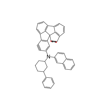 c1c(N(c2ccc3ccccc3c2)C2CCCC(c3ccccc3)C2)cc2c(c#1)-c1cccc3c1C21c2ccccc2-c2cccc-3c21